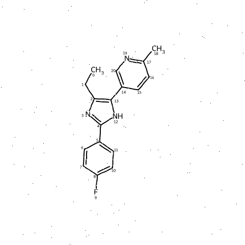 CCc1nc(-c2ccc(F)cc2)[nH]c1-c1ccc(C)nc1